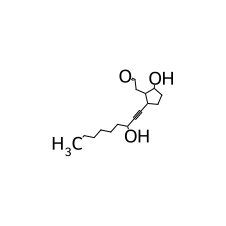 CCCCCCC(O)C#CC1CCC(O)C1CC=O